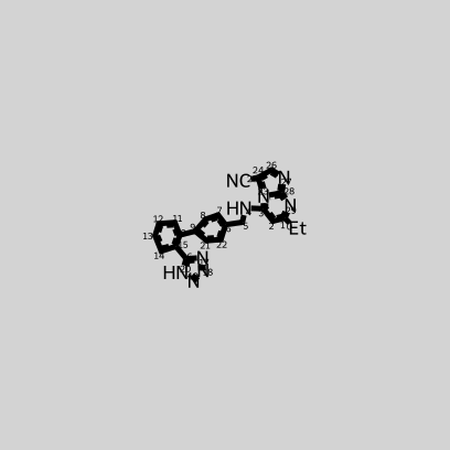 CCc1cc(NCc2ccc(-c3ccccc3-c3nnn[nH]3)cc2)n2c(C#N)cnc2n1